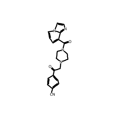 N#Cc1ccc(C(=O)CN2CCN(C(=O)c3cccn4ccnc34)CC2)cc1